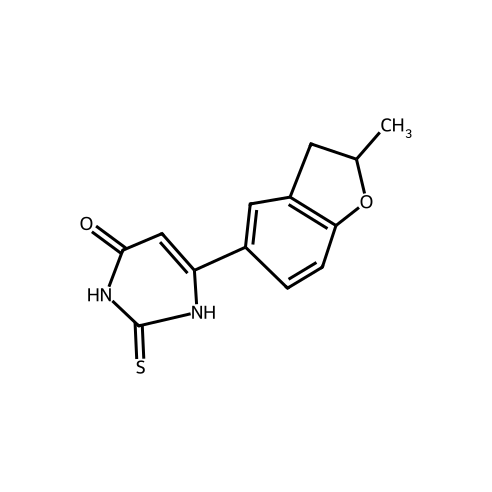 CC1Cc2cc(-c3cc(=O)[nH]c(=S)[nH]3)ccc2O1